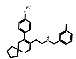 Cc1cccc(CNCCC2=C(c3ccc(F)cc3)CC3(CCCC3)OC2)c1.Cl